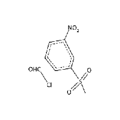 CS(=O)(=O)c1cccc([N+](=O)[O-])c1.O=CCl